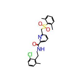 Cc1cccc(Cl)c1CCNC(=O)c1cccc(CS(=O)(=O)c2c(C)cccc2C)n1